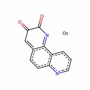 O=C1C=c2ccc3ncccc3c2=NC1=O.[Os]